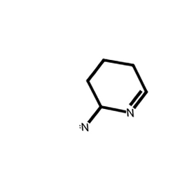 [N]C1CCCC=N1